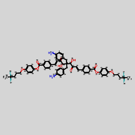 Nc1ccc(CC(Cc2ccc(N)cc2)(C(O)C(=O)/C=C/c2ccc(C(=O)Oc3ccc(OCCCC(F)(F)C(F)(F)F)cc3)cc2)C(O)C(=O)/C=C/c2ccc(C(=O)Oc3ccc(OCCCC(F)(F)C(F)(F)F)cc3)cc2)cc1